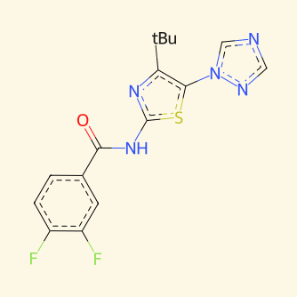 CC(C)(C)c1nc(NC(=O)c2ccc(F)c(F)c2)sc1-n1cncn1